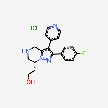 Cl.OCC[C@@H]1CNCc2c(-c3ccncc3)c(-c3ccc(F)cc3)nn21